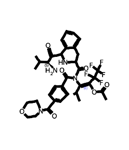 CC(=O)O/C(=C(\C(C)C)N(C(=O)c1ccc(C(=O)N2CCOCC2)cc1)C(=O)C1Cc2ccccc2C(C(=O)[C@@H](N)C(C)C)N1)C(F)(F)C(F)(F)F